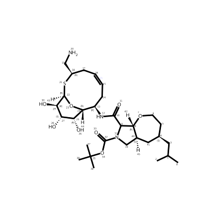 CC(C)C[C@@H]1CCO[C@H]2C(C(=O)N[C@@H]3C/C=C\C[C@H](CN)S[C@H]4O[C@H]3[C@H](O)[C@H](O)[C@H]4O)N(C(=O)OC(C)(C)C)C[C@@H]2C1